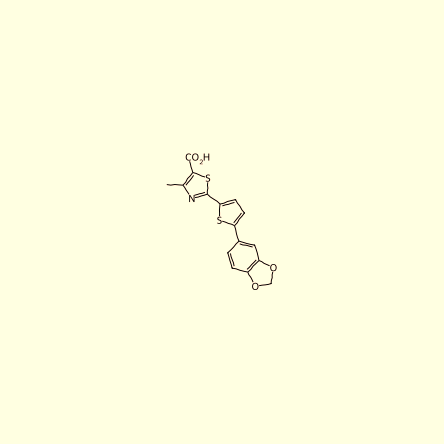 Cc1nc(-c2ccc(-c3ccc4c(c3)OCO4)s2)sc1C(=O)O